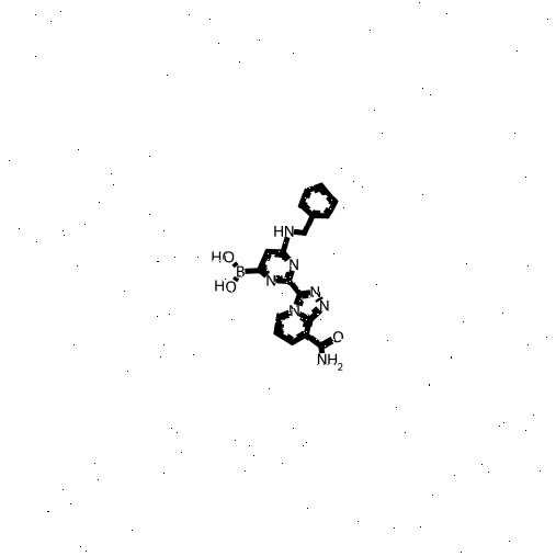 NC(=O)c1cccn2c(-c3nc(NCc4ccccc4)cc(B(O)O)n3)nnc12